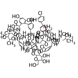 CN[C@H](CC(C)C)C(=O)NC1C(=O)NC(CC(N)=O)C(=O)N[C@H]2C(=O)NC3C(=O)N[C@H](C(=O)N[C@@H](C(=O)O)c4cc(O)cc(O)c4-c4cc3ccc4O)[C@H](OC3CC(C)(N)C(O)C(C)O3)c3ccc(c(Cl)c3)Oc3cc2cc(c3OC2OC(CO)C(O)C(O)C2OC2CC(C)(NCC(OCc3ccc(-c4ccc(Cl)cc4)cc3)C(=O)O)C(O)C(C)O2)Oc2ccc(cc2Cl)[C@H]1O